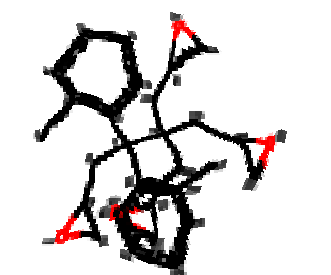 Cc1ccccc1C(CC1CO1)(c1ccccc1C)C(CC1CO1)(CC1CO1)CC1CO1